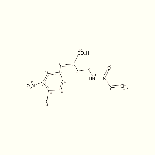 C=CC(=O)NCC/C(=C\c1ccc(Cl)c([N+](=O)[O-])c1)C(=O)O